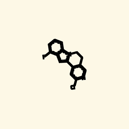 Fc1cccc2c1cc1n2CCc2cnc(Cl)cc2-1